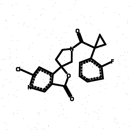 O=C1OC2(CCN(C(=O)C3(c4ccccc4F)CC3)C2)c2cc(Cl)ncc21